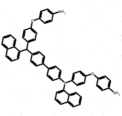 Nc1ccc(Oc2ccc(C(c3ccc(-c4ccc(N(c5ccc(Oc6ccc(N)cc6)cc5)c5cccc6ccccc56)cc4)cc3)c3cccc4ccccc34)cc2)cc1